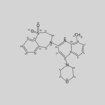 Cc1cccc2c(N3CCOCC3)cc(N3CCS(=O)(=O)c4ccccc4C3)nc12